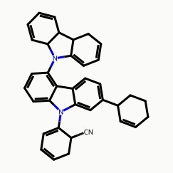 N#CC1CC=CC=C1n1c2cc(C3C=CCCC3)ccc2c2c(N3C4=CC=CCC4C4C=CC=CC43)cccc21